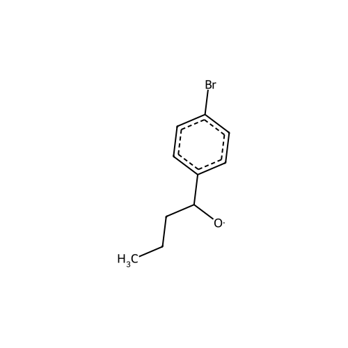 CCCC([O])c1ccc(Br)cc1